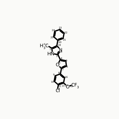 Cc1[nH]c(-c2ccc(-c3ccc(Cl)c(OC(F)(F)F)c3)o2)nc1-c1ccccc1